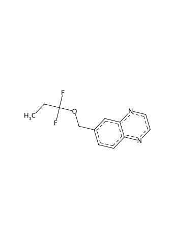 CCC(F)(F)OCc1ccc2nccnc2c1